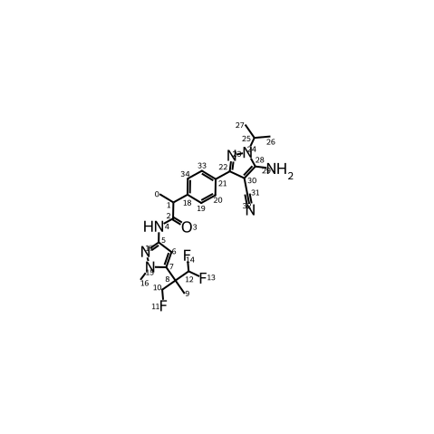 CC(C(=O)Nc1cc(C(C)(CF)C(F)F)n(C)n1)c1ccc(-c2nn(C(C)C)c(N)c2C#N)cc1